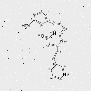 Nc1cccc(-c2csc3nc(/C=C/c4cccnc4)cc(=O)n23)c1